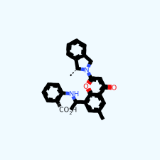 Cc1cc(C(C)Nc2ccccc2C(=O)O)c2oc(N3Cc4ccccc4[C@H]3C)cc(=O)c2c1